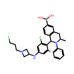 CC1Cc2cc(B(O)O)ccc2C(c2c(F)cc(NC3CN(CCCF)C3)cc2F)N1c1ccccc1